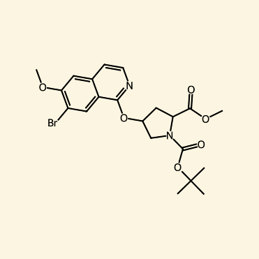 COC(=O)C1CC(Oc2nccc3cc(OC)c(Br)cc23)CN1C(=O)OC(C)(C)C